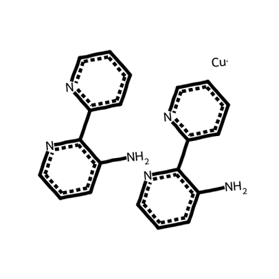 Nc1cccnc1-c1ccccn1.Nc1cccnc1-c1ccccn1.[Cu]